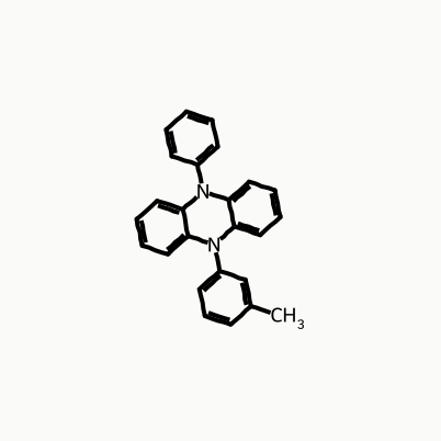 Cc1cccc(N2c3ccccc3N(c3ccccc3)c3ccccc32)c1